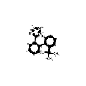 CCCCc1cccc(C(C)(C)OC)c1-c1ccccc1-c1nnn[nH]1